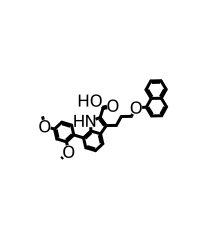 COc1ccc(-c2cccc3c(CCCOc4cccc5ccccc45)c(C(=O)O)[nH]c23)c(OC)c1